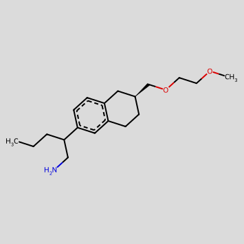 CCCC(CN)c1ccc2c(c1)CC[C@H](COCCOC)C2